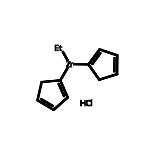 C[CH2][Zr]([C]1=CC=CC1)[C]1=CC=CC1.Cl